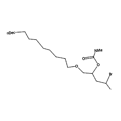 [CH2]C(Br)CC(COCCCCCCCCCCCCCCCCCC)OC(=O)NC